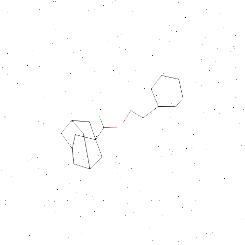 ClC(OCCC1CCCCC1)C12CC3CC(CC(C3)C1)C2